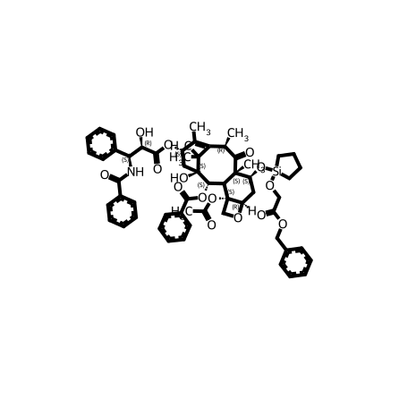 CC(=O)O[C@@]12CO[C@@H]1C[C@H](O[Si]1(OCC(=O)OCc3ccccc3)CCCC1)[C@@]1(C)C(=O)[C@H](C)C3=C(C)[C@@H](OC(=O)[C@H](O)[C@@H](NC(=O)c4ccccc4)c4ccccc4)C[C@@](O)([C@@H](OC(=O)c4ccccc4)C12)C3(C)C